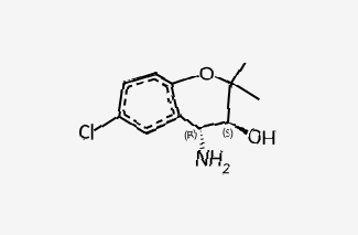 CC1(C)Oc2ccc(Cl)cc2[C@@H](N)[C@@H]1O